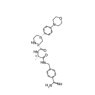 C[C@H](NC(=O)[C@H]1C[C@@H](c2ccc(N3CCOCC3)cc2)CCN1)C(=O)NCc1ccc(C(=N)N)cc1